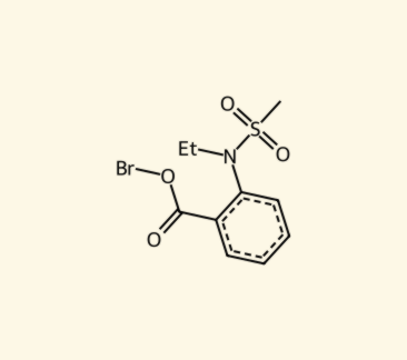 CCN(c1ccccc1C(=O)OBr)S(C)(=O)=O